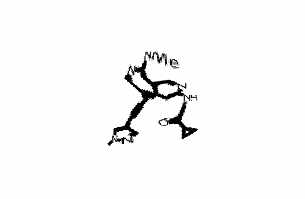 CNc1ncc(C#Cc2cnn(C)c2)c2cc(NC(=O)C3CC3)ncc12